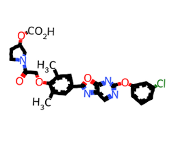 Cc1cc(-c2nc3cnc(Oc4cccc(Cl)c4)nc3o2)cc(C)c1OCC(=O)N1CCC(OC(=O)O)C1